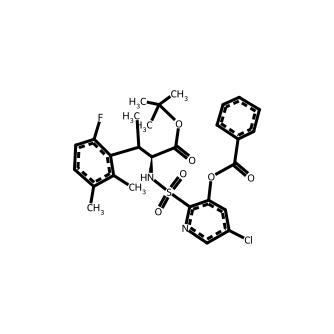 Cc1ccc(F)c(C(C)[C@H](NS(=O)(=O)c2ncc(Cl)cc2OC(=O)c2ccccc2)C(=O)OC(C)(C)C)c1C